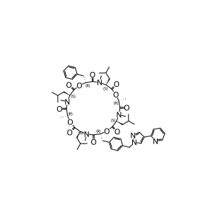 CC(C)C[C@H]1C(=O)O[C@H](Cc2ccc(Cn3cc(-c4ccccn4)cn3)cc2)C(=O)N(C)[C@@H](CC(C)C)C(=O)O[C@H](C)C(=O)N(C)[C@@H](CC(C)C)C(=O)O[C@H](Cc2ccccc2)C(=O)N(C)[C@@H](CC(C)C)C(=O)O[C@H](C)C(=O)N1C